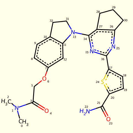 CN(C)C(=O)COc1ccc2c(c1)N(c1nc(-c3ccc(C(N)=O)s3)nc3c1CCC3)CC2